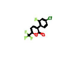 O=c1oc(C(F)(F)F)ccc1-c1ccc(Cl)cc1F